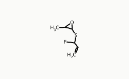 C=CC(F)SC1OC1C